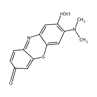 CCCCCCCCc1cc2nc3ccc(=O)cc-3sc2cc1N(C)C